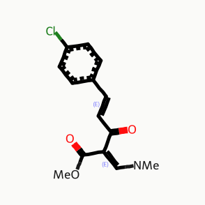 CN/C=C(\C(=O)/C=C/c1ccc(Cl)cc1)C(=O)OC